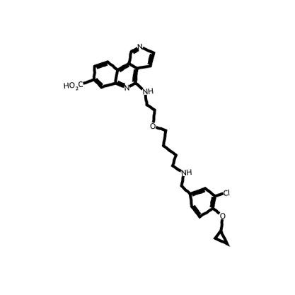 O=C(O)c1ccc2c(c1)nc(NCCOCCCCNCc1ccc(OC3CC3)c(Cl)c1)c1ccncc12